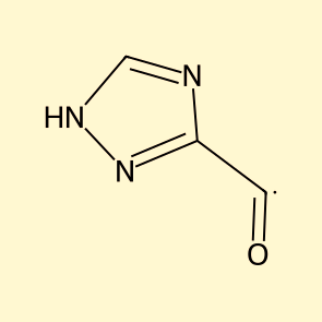 O=[C]c1nc[nH]n1